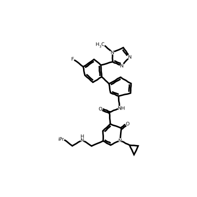 CC(C)CNCc1cc(C(=O)Nc2cccc(-c3ccc(F)cc3-c3nncn3C)c2)c(=O)n(C2CC2)c1